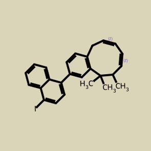 CC1/C=C\C=C/Cc2ccc(-c3ccc(I)c4ccccc34)cc2C1(C)C